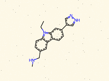 CCn1c2ccc(CNC)cc2c2ccc(-c3cn[nH]c3)cc21